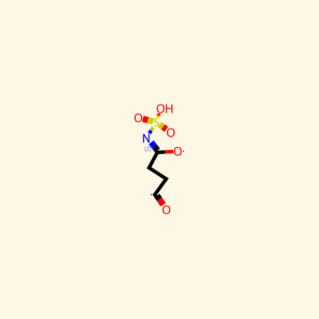 [O]/C(CC[C]=O)=N\S(=O)(=O)O